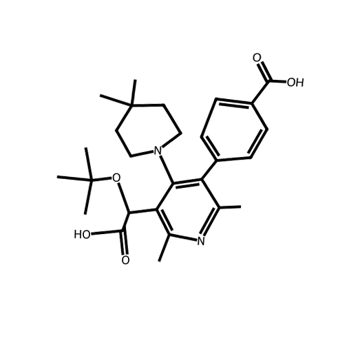 Cc1nc(C)c(C(OC(C)(C)C)C(=O)O)c(N2CCC(C)(C)CC2)c1-c1ccc(C(=O)O)cc1